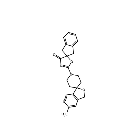 Cc1cc2c(cn1)C1(CCN(C3=NC(=O)C4(Cc5ccccc5C4)O3)CC1)OC2